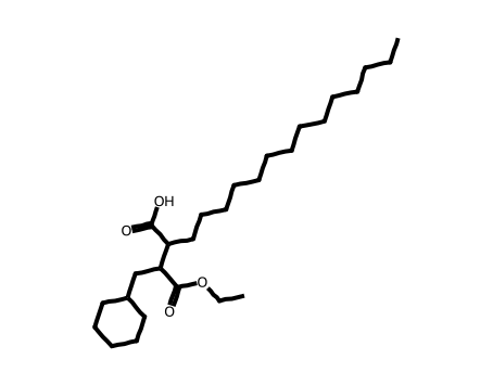 CCCCCCCCCCCCCCC(C(=O)O)C(CC1CCCCC1)C(=O)OCC